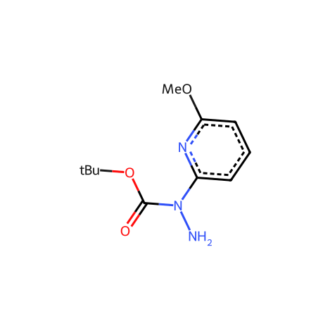 COc1cccc(N(N)C(=O)OC(C)(C)C)n1